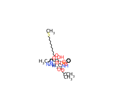 CCSCCCCCCCCCCCC(=O)O[C@@H]1[C@H](O)[C@@H](COP(=O)(N[C@H](C)C(=O)OCC(CC)CC)Oc2ccccc2)O[C@@]1(C#N)c1ccc2c(C)ncnn12